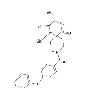 CCCCN1C(=O)[C@H](C(C)(C)C)NC(=O)C12CCN(Cc1ccc(Oc3ccccc3)cc1)CC2.Cl